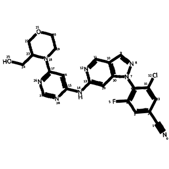 N#Cc1cc(F)c(-n2ncc3cnc(Nc4cc(N5CCOCC5CO)ncn4)cc32)c(Cl)c1